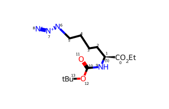 CCOC(=O)[C@H](CCCCN=[N+]=[N-])NC(=O)OC(C)(C)C